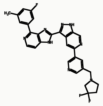 Cc1cc(F)cc(-c2nccc3[nH]c(-c4n[nH]c5cnc(-c6cncc(CN7CCC(F)(F)C7)c6)cc45)nc23)c1